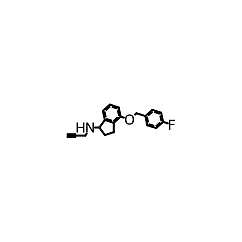 C#CCNC1CCc2c(OCc3ccc(F)cc3)cccc21